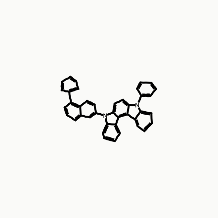 c1ccc(-c2cccc3cc(-n4c5ccccc5c5c6c7ccccc7n(-c7ccccc7)c6ccc54)ccc23)cc1